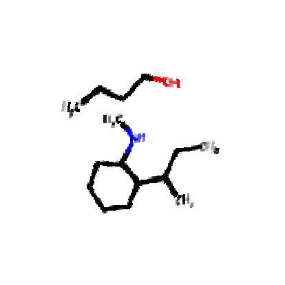 CCC(C)C1CCCCC1NC.CCCCO